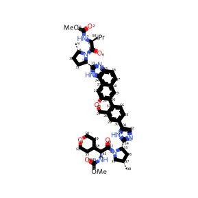 COC(=O)N[C@H](C(=O)N1[C@@H](C)CC[C@H]1c1nc2ccc3cc4c(cc3c2[nH]1)OCc1cc(-c2cnc([C@@H]3C[C@H](C)CN3C(=O)[C@@H](NC(=O)OC)C3CCOCC3)[nH]2)ccc1-4)C(C)C